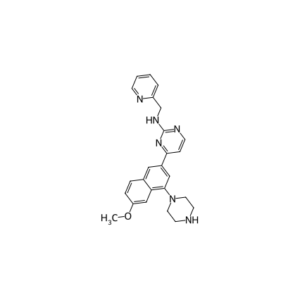 COc1ccc2cc(-c3ccnc(NCc4ccccn4)n3)cc(N3CCNCC3)c2c1